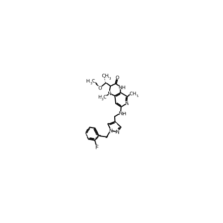 CO[C@H](C)C1C(=O)Nc2c(cc(NCc3cnn(Cc4ccccc4F)c3)nc2C)N1C